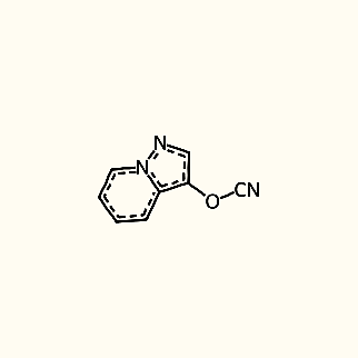 N#COc1cnn2ccccc12